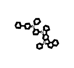 C1=C2C(Cc3c1n(-c1ccccc1)c1ccc4ccccc4c31)c1ccccc1N2c1cccc(N(c2ccccc2)c2ccc(-c3ccccc3)cc2)c1